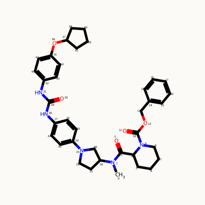 CN(C(=O)C1CCCCN1C(=O)OCc1ccccc1)C1CCN(c2ccc(NC(=O)Nc3ccc(OC4CCCC4)cc3)cc2)C1